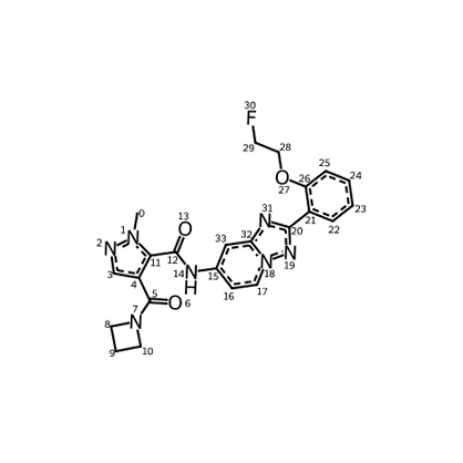 Cn1ncc(C(=O)N2CCC2)c1C(=O)Nc1ccn2nc(-c3ccccc3OCCF)nc2c1